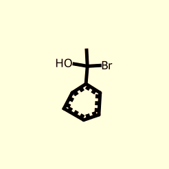 CC(O)(Br)c1ccccc1